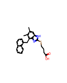 Cc1cc2[nH]c(SCCCC(=O)O)nc2c(Cc2cccc3ccccc23)c1C